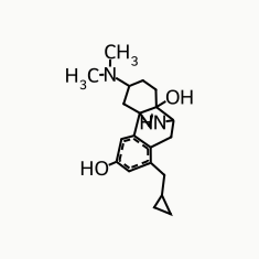 CN(C)C1CCC2(O)C3Cc4c(CC5CC5)cc(O)cc4C2(CCN3)C1